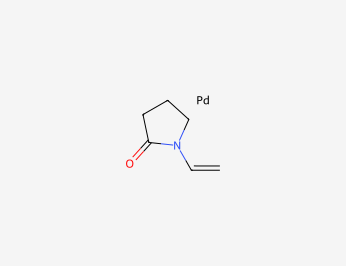 C=CN1CCCC1=O.[Pd]